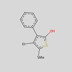 CCc1c(SC)sc(O)c1-c1ccccc1